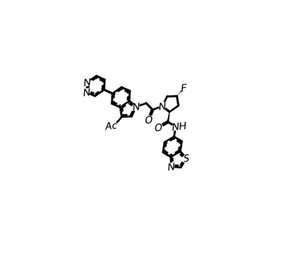 CC(=O)c1cn(CC(=O)N2C[C@H](F)C[C@H]2C(=O)Nc2ccc3ncsc3c2)c2ccc(-c3ccnnc3)cc12